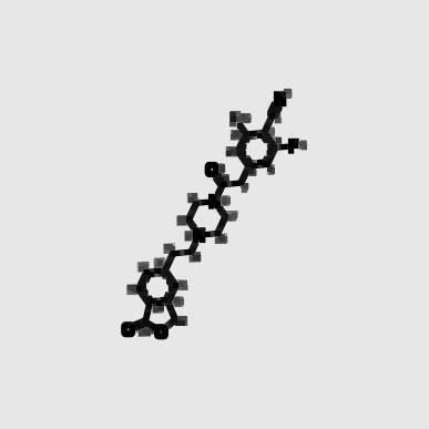 N#Cc1c(F)cc(CC(=O)N2CCN(CCc3ccc4c(c3)COC4=O)CC2)cc1F